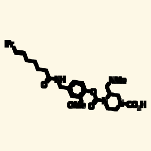 CNCC1CN(C(=O)O)CCN1C(=O)Oc1ccc(CNC(=O)CCCCC=CC(C)C)cc1OC